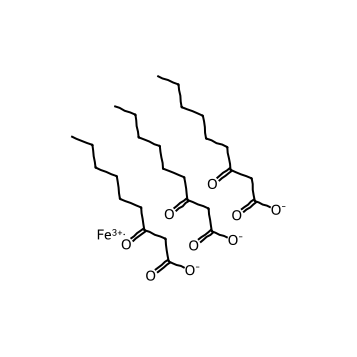 CCCCCCC(=O)CC(=O)[O-].CCCCCCC(=O)CC(=O)[O-].CCCCCCC(=O)CC(=O)[O-].[Fe+3]